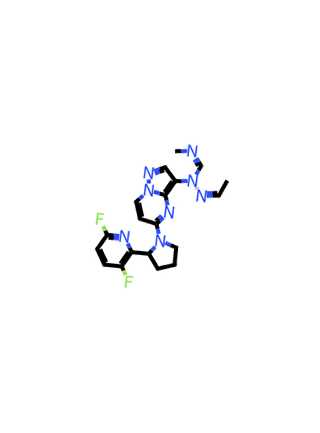 C/C=N\N(/C=N\C)c1cnn2ccc(N3CCCC3c3nc(F)ccc3F)nc12